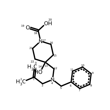 C=C(C)CN(Cc1ccccc1)CC1(O)CCN(C(=O)O)CC1